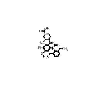 CCc1cccc(CC)c1-n1c(=O)nc(N2CCN(C(=O)O)CC2C)c2cc(Cl)c(Br)cc21